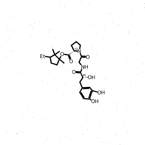 CCC1CCC(C)(OC(=O)[C@@H]2CCCN2C(=O)CNC(=O)[C@H](O)Cc2ccc(O)c(O)c2)C1(C)C